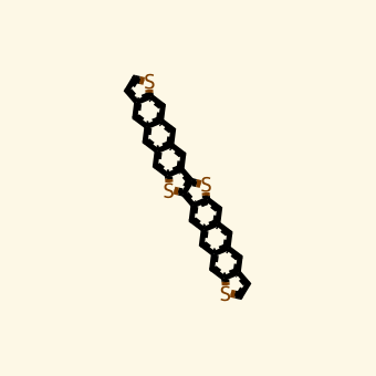 c1cc2cc3cc4cc5sc6c7cc8cc9cc%10sccc%10cc9cc8cc7sc6c5cc4cc3cc2s1